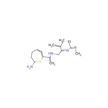 C=C(NC/C(=N/C(CC)=N\C)C(=C)C)C1=C=CCCC(N)S1